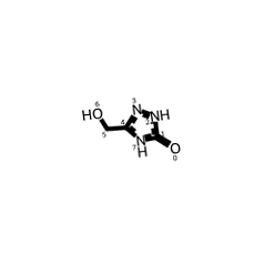 O=c1[nH]nc(CO)[nH]1